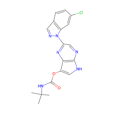 CC(C)(C)NC(=O)Oc1c[nH]c2ncc(-n3ncc4ccc(Cl)cc43)nc12